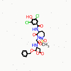 CS(=O)(=O)N1CCCC(NC(=O)c2cc(Cl)c(O)c(Cl)c2)C(=O)N1CC(=O)NC1CC(=O)OC1OCc1ccccc1